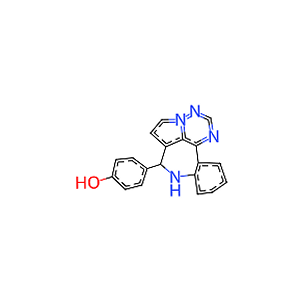 Oc1ccc(C2Nc3ccccc3-c3ncnn4ccc2c34)cc1